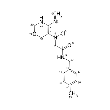 C=NC1=C(N(Cl)CC(=O)NCc2ccc(C)cc2)COCN1